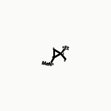 CC[C@]1(C)CC1NC